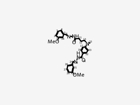 COc1cccc(C=NNC(=O)CCCN(C)c2ccc(C(=O)NN=Cc3cccc(OC)c3)cc2)c1